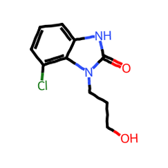 O=c1[nH]c2cccc(Cl)c2n1CCCO